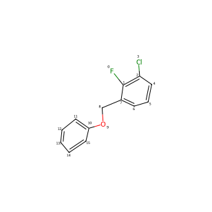 Fc1c(Cl)cccc1COc1cc[c]cc1